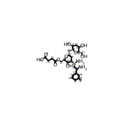 N/C(=C\N(N)[C@@H]1C[C@H](S[C@@H]2O[C@H](CO)[C@H](O)C[C@H]2O)O[C@H](COC(=O)CCC(=O)O)[C@@H]1O)c1cccc(F)c1